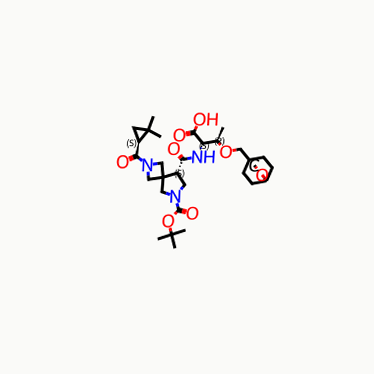 C[C@@H](OCC12CCC(CC1)OC2)[C@H](NC(=O)[C@@H]1CN(C(=O)OC(C)(C)C)CC12CN(C(=O)[C@H]1CC1(C)C)C2)C(=O)O